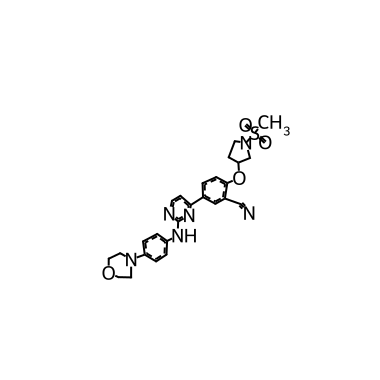 CS(=O)(=O)N1CCC(Oc2ccc(-c3ccnc(Nc4ccc(N5CCOCC5)cc4)n3)cc2C#N)C1